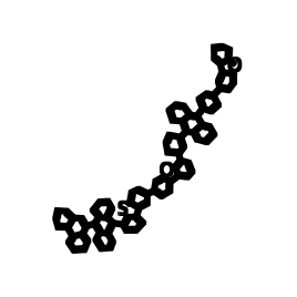 c1cc(-c2c3ccccc3c(-c3ccc(-c4ccc5oc6ccccc6c5c4)cc3)c3ccccc23)cc(-c2cccc3c2oc2cc(-c4ccc5sc6c(-c7c8ccccc8c(-c8cc9ccccc9c9ccccc89)c8ccccc78)cccc6c5c4)ccc23)c1